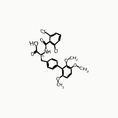 COc1ccc(OC)c(-c2ccc(C[C@H](NC(=O)c3c(Cl)cccc3Cl)C(=O)O)cc2)c1OC